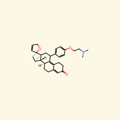 CN(C)CCOc1ccc(C2C[C@@]3(C)[C@@H](CC[C@@]34C=CCO4)[C@@H]3CCC4=CC(=O)CCC4=C23)cc1